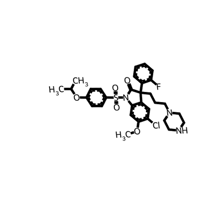 COc1cc2c(cc1Cl)C(CCCN1CCNCC1)(c1ccccc1F)C(=O)N2S(=O)(=O)c1ccc(OC(C)C)cc1